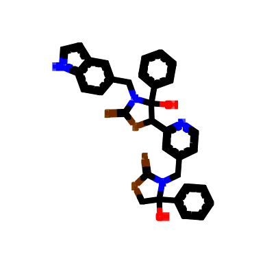 OC1(c2ccccc2)CSC(=S)N1Cc1ccnc(C2SC(=S)N(Cc3ccc4[nH]ccc4c3)C2(O)c2ccccc2)c1